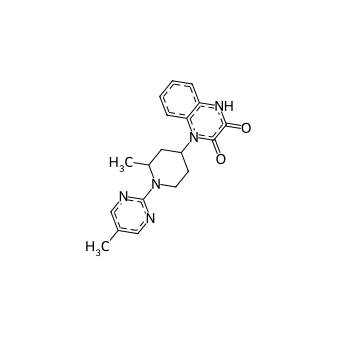 Cc1cnc(N2CCC(n3c(=O)c(=O)[nH]c4ccccc43)CC2C)nc1